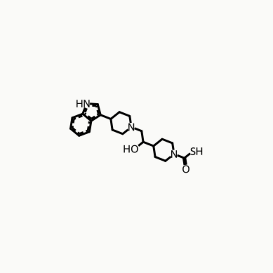 O=C(S)N1CCC(C(O)CN2CCC(c3c[nH]c4ccccc34)CC2)CC1